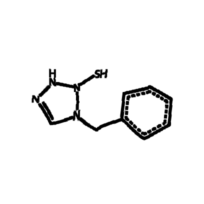 SN1NN=CN1Cc1ccccc1